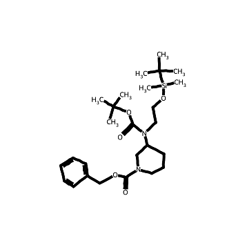 CC(C)(C)OC(=O)N(CCO[Si](C)(C)C(C)(C)C)C1CCCN(C(=O)OCc2ccccc2)C1